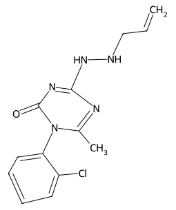 C=CCNNc1nc(C)n(-c2ccccc2Cl)c(=O)n1